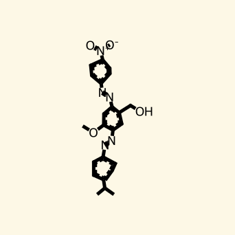 COc1cc(N=Nc2ccc([N+](=O)[O-])cc2)c(CO)cc1N=Nc1ccc(C(C)C)cc1